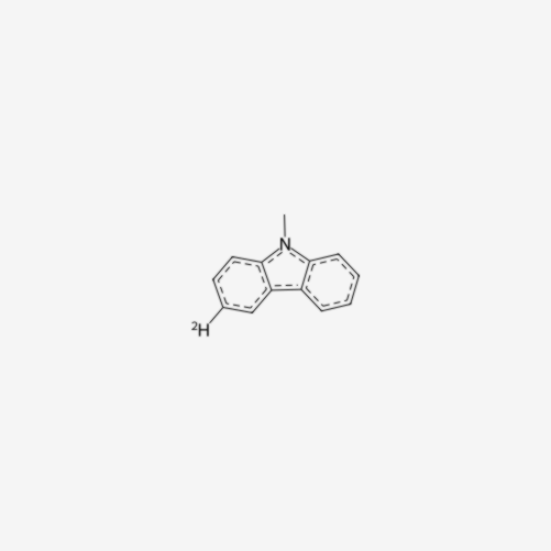 [2H]c1ccc2c(c1)c1ccccc1n2C